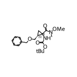 CON(C)C(=O)[C@@]1(NC(=O)OC(C)(C)C)C[C@@H]1COCc1ccccc1